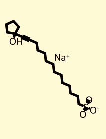 O=S(=O)([O-])CCCCCCCCCCCCC#CC1(O)CCCC1.[Na+]